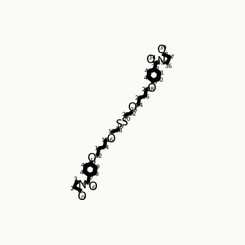 O=C1CCN1C(=O)c1ccc(OCCCCOCCSSCCOCCCCOc2ccc(C(=O)N3CCC3=O)cc2)cc1